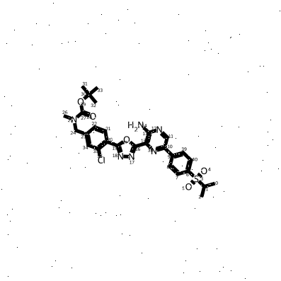 CC(C)S(=O)(=O)c1ccc(-c2cnc(N)c(-c3nnc(-c4ccc(CN(C)C(=O)OC(C)(C)C)cc4Cl)o3)n2)cc1